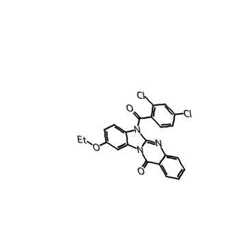 CCOc1ccc2c(c1)n1c(=O)c3ccccc3nc1n2C(=O)c1ccc(Cl)cc1Cl